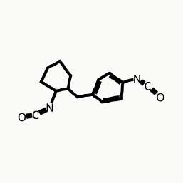 O=C=Nc1ccc(CC2CCCCC2N=C=O)cc1